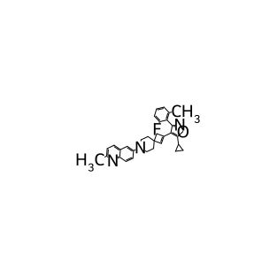 Cc1ccc2cc(N3CCC4(C=C(c5c(-c6c(C)cccc6F)noc5C5CC5)C4)CC3)ccc2n1